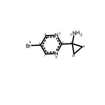 NC1(c2ncc(Br)cn2)CC1